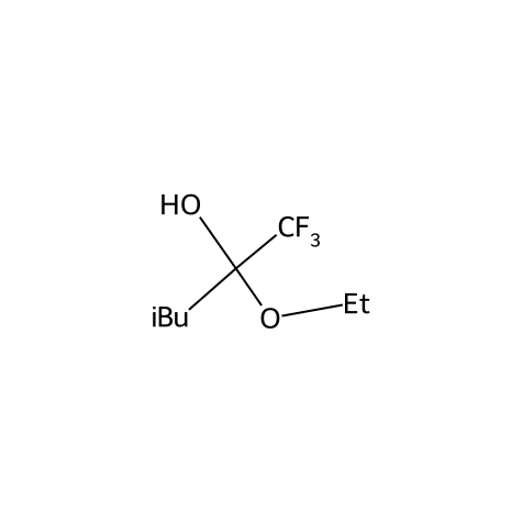 CCOC(O)(C(C)CC)C(F)(F)F